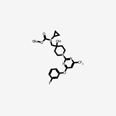 CC(C)(C)OC(=O)N(CC1(O)CCN(c2nc(Oc3cccc(F)c3)cc(C(F)(F)F)n2)CC1)C1CC1